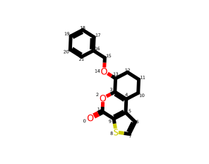 O=c1oc2c(c3ccsc13)CCCC2OCc1ccccc1